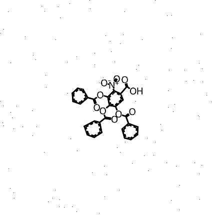 O=C(Oc1cc(C(=O)O)c([N+](=O)[O-])c(OC(=O)c2ccccc2)c1OC(=O)c1ccccc1)c1ccccc1